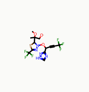 COC(C)(C[O])C1SC(C(F)(F)F)=NN1OC(C#CC(F)(F)F)c1nc[nH]n1